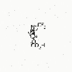 CC(C)N.CC(Oc1ccc(Oc2ccc(C(F)(F)F)cn2)cc1)C(=O)O